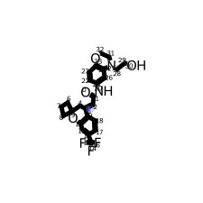 O=C(/C=C1\CC2(CCC2)Oc2cc(C(F)(F)F)ccc21)Nc1ccc2c(c1)N(CCO)CCO2